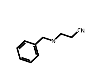 N#CCC[N]Cc1ccccc1